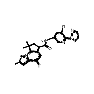 Cc1cc2c(F)cc3c(n2n1)C(C)(C)CC3C(=O)Nc1cnc(-n2nccn2)c(Cl)c1